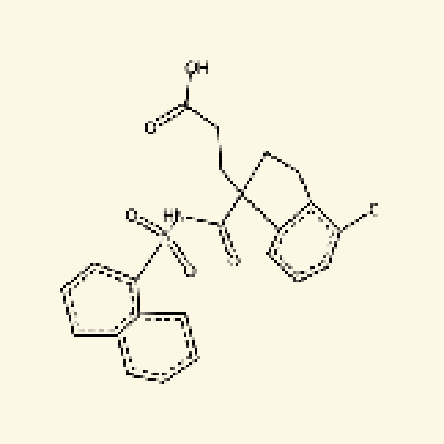 O=C(O)CCC1(C(=O)NS(=O)(=O)c2cccc3ccccc23)CCc2c(Cl)cccc21